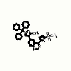 Cc1nn(C(c2ccccc2)(c2ccccc2)c2ccccc2)cc1-c1ccc2ncnc(-c3ccc(S(C)(=O)=O)s3)c2c1